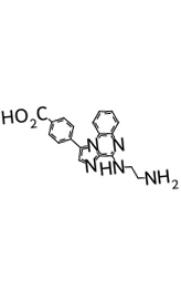 NCCNc1nc2ccccc2n2c(-c3ccc(C(=O)O)cc3)cnc12